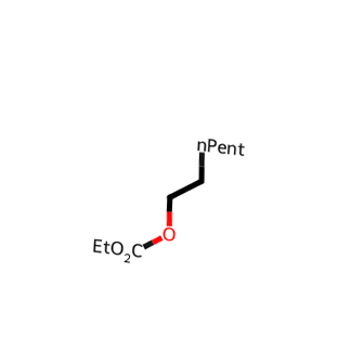 CCCCCCCOC(=O)OCC